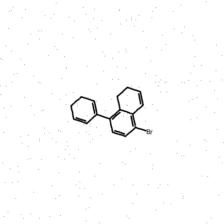 Brc1ccc(C2=CCCC=C2)c2c1C=CCC2